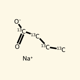 [13CH3][13CH2][13CH2][13C](=O)[O-].[Na+]